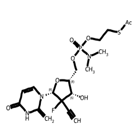 C#CC1(F)[C@@H](O)[C@@H](COP(=O)(OCCSC(C)=O)N(C)C)O[C@H]1N1C=CC(=O)NC1=C